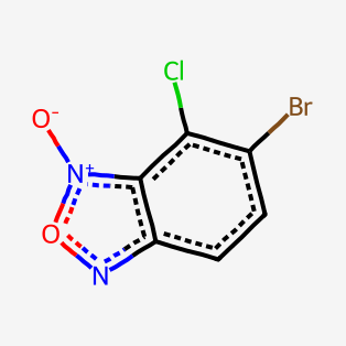 [O-][n+]1onc2ccc(Br)c(Cl)c21